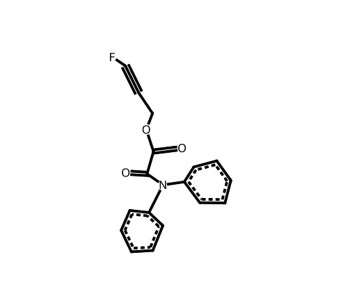 O=C(OCC#CF)C(=O)N(c1ccccc1)c1ccccc1